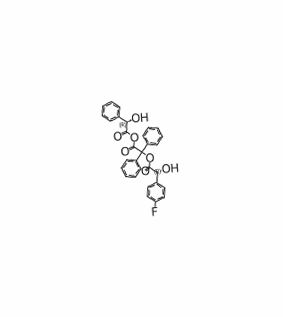 O=C(OC(=O)C(OC(=O)[C@H](O)c1ccc(F)cc1)(c1ccccc1)c1ccccc1)[C@H](O)c1ccccc1